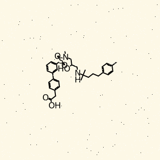 Cc1ccc(CCCC(C)(C)NCC(O)CN(C)S(=O)(=O)c2cccc(-c3ccc(CC(=O)O)cc3)c2)cc1